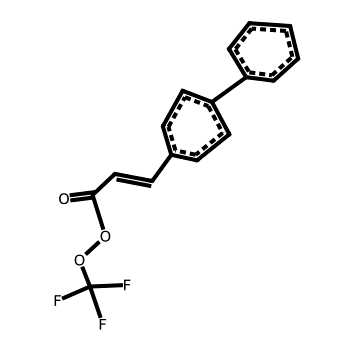 O=C(C=Cc1ccc(-c2ccccc2)cc1)OOC(F)(F)F